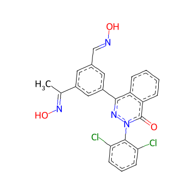 CC(=NO)c1cc(C=NO)cc(-c2nn(-c3c(Cl)cccc3Cl)c(=O)c3ccccc23)c1